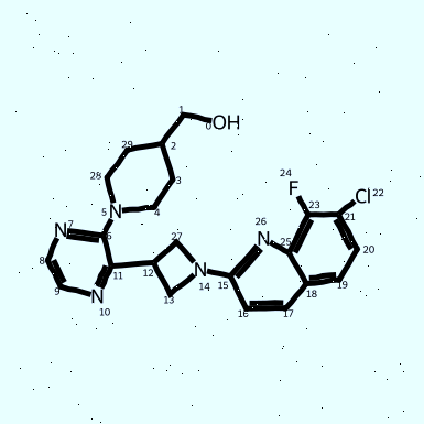 OCC1CCN(c2nccnc2C2CN(c3ccc4ccc(Cl)c(F)c4n3)C2)CC1